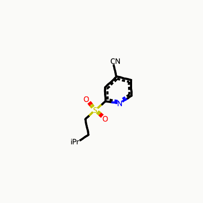 CC(C)CCS(=O)(=O)c1cc(C#N)ccn1